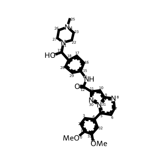 COc1ccc(-c2ccnc3cc(C(=O)Nc4ccc(C(O)N5CCN(C)CC5)cc4)nn23)cc1OC